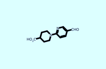 O=Cc1ccc(N2CCC(C(=O)O)CC2)nc1